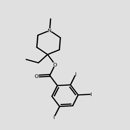 CCC1(OC(=O)c2cc(I)cc(I)c2I)CCN(C)CC1